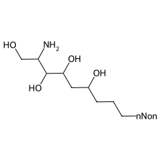 CCCCCCCCCCCCC(O)CC(O)C(O)C(N)CO